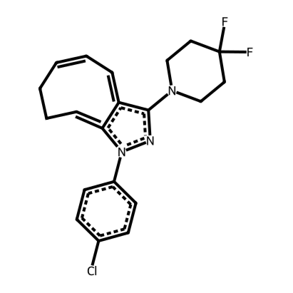 FC1(F)CCN(c2nn(-c3ccc(Cl)cc3)c3/c2=C\C=C/CC/C=3)CC1